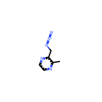 Cc1nccnc1CN=[N+]=[N-]